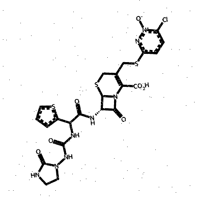 O=C(NC(C(=O)N[C@H]1C(=O)N2C(C(=O)O)=C(CSc3ccc(Cl)[n+]([O-])n3)CSC12)c1cccs1)NN1CCNC1=O